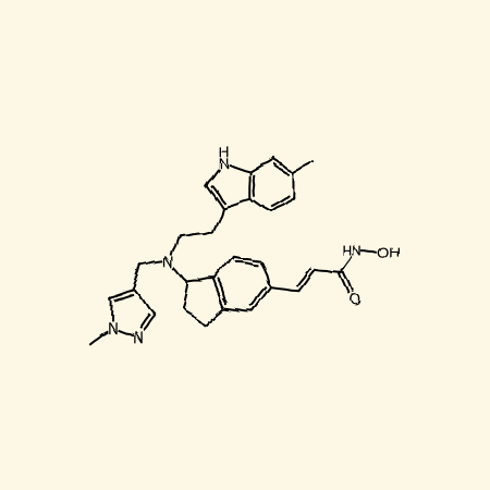 Cc1ccc2c(CCN(Cc3cnn(C)c3)C3CCc4cc(C=CC(=O)NO)ccc43)c[nH]c2c1